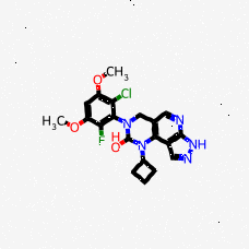 COc1cc(OC)c(Cl)c(N2Cc3cnc4[nH]ncc4c3N(C3CCC3)C2O)c1F